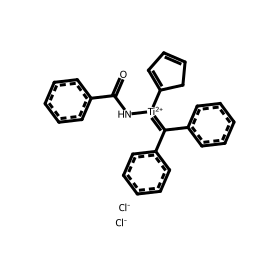 O=C([NH][Ti+2]([C]1=CC=CC1)=[C](c1ccccc1)c1ccccc1)c1ccccc1.[Cl-].[Cl-]